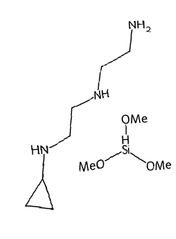 CO[SiH](OC)OC.NCCNCCNC1CC1